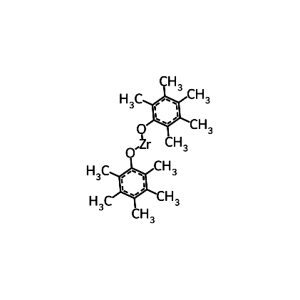 Cc1c(C)c(C)c([O][Zr][O]c2c(C)c(C)c(C)c(C)c2C)c(C)c1C